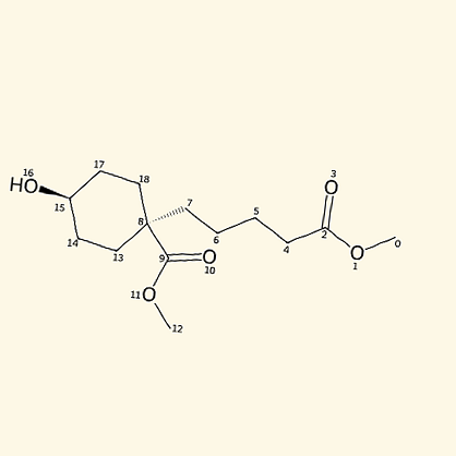 COC(=O)CCCC[C@]1(C(=O)OC)CC[C@@H](O)CC1